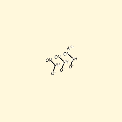 O=NN[O-].O=NN[O-].O=NN[O-].[Al+3]